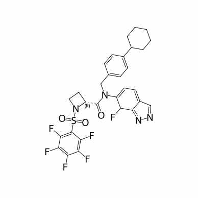 O=C([C@H]1CCN1S(=O)(=O)c1c(F)c(F)c(F)c(F)c1F)N(Cc1ccc(C2CCCCC2)cc1)C1=CC=C2C=NN=C2C1F